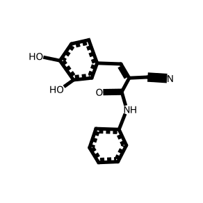 N#CC(=Cc1ccc(O)c(O)c1)C(=O)Nc1ccccc1